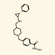 O=C(NO)c1ccc(CN2CCC(CN[C@H]3C[C@@H]3c3ccccc3)CC2)cc1